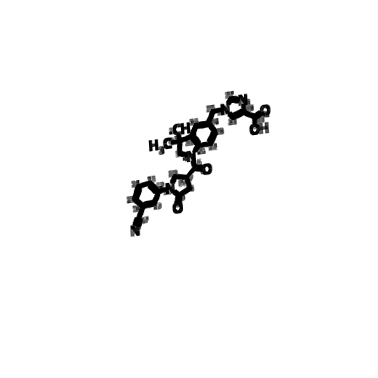 CC1(C)CN(C(=O)[C@H]2CC(=O)N(c3cccc(C#N)c3)C2)c2ccc(Cn3cnc(C(=O)O)c3)cc21